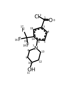 O=C(Cl)c1ccc(N2CCC(O)CC2)c(C(F)(F)F)c1